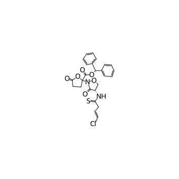 O=C1CCC(C(=O)OC(c2ccccc2)c2ccccc2)(N2OC[C@H](NC(=S)CC=CCl)C2=O)O1